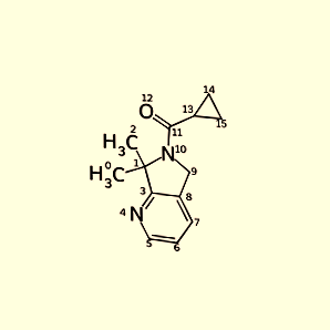 CC1(C)c2ncccc2CN1C(=O)C1CC1